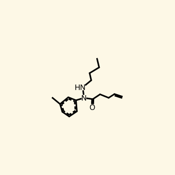 C=CCCC(=O)N(NCCCC)c1cccc(C)c1